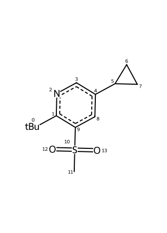 CC(C)(C)c1ncc(C2CC2)cc1S(C)(=O)=O